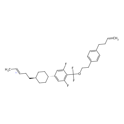 C=CCCc1ccc(CCOC(F)(F)c2c(F)cc([C@H]3CC[C@H](CC/C=C/C)CC3)cc2F)cc1